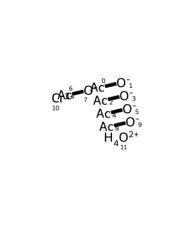 CC(=O)[O-].CC(=O)[O-].CC(=O)[O-].CC(=O)[O-].CC(=O)[O-].[Cr+3].[OH4+2]